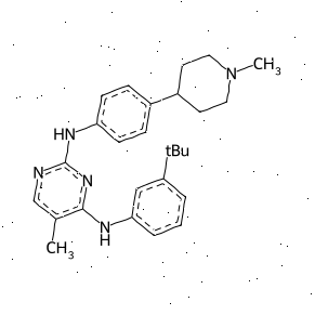 Cc1cnc(Nc2ccc(C3CCN(C)CC3)cc2)nc1Nc1cccc(C(C)(C)C)c1